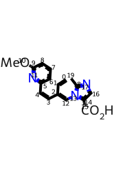 C=CC(/C=C\c1cccc(OC)n1)=C\n1c(C(=O)O)cnc1C